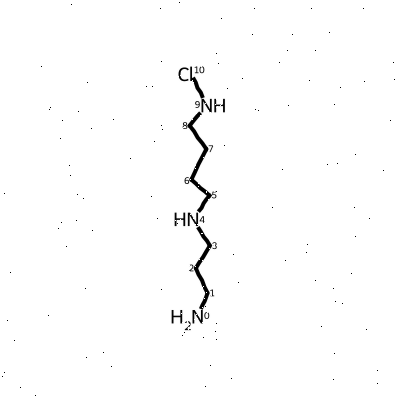 NCCCNCCCCNCl